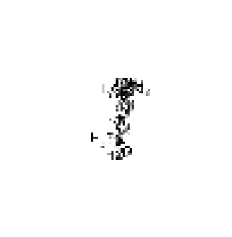 Cc1cc(C(=O)O)nn1-c1ccc2c(ccn2Cc2ccc(B3OC(C)(C)C(C)(C)O3)cc2)c1